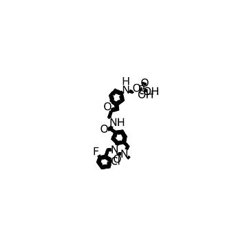 CN1Cc2ccc(C(=O)NCc3cc4cc(NCOP(=O)(O)O)ccc4o3)cc2N(Cc2c(F)cccc2Cl)C1=O